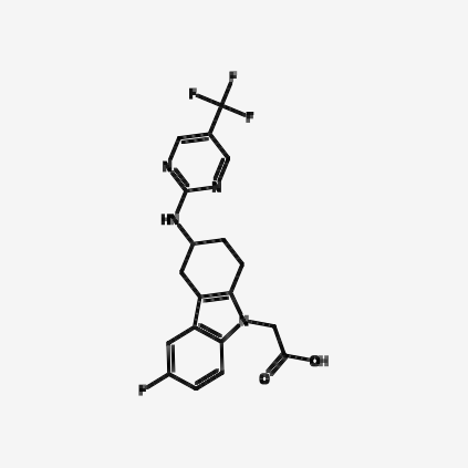 O=C(O)Cn1c2c(c3cc(F)ccc31)CC(Nc1ncc(C(F)(F)F)cn1)CC2